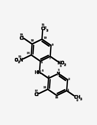 Cc1cnc(Nc2c([N+](=O)[O-])cc(C(F)(F)F)c(Cl)c2[N+](=O)[O-])c(Cl)c1